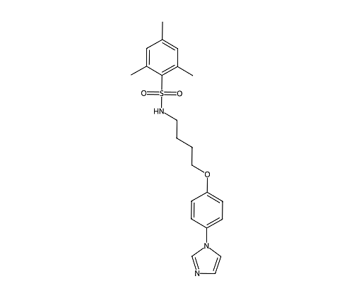 Cc1cc(C)c(S(=O)(=O)NCCCCOc2ccc(-n3ccnc3)cc2)c(C)c1